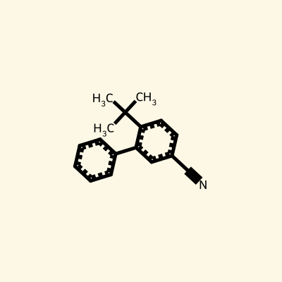 CC(C)(C)c1ccc(C#N)cc1-c1ccccc1